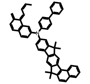 C=c1ccc2ccc(N(c3ccc(-c4ccccc4)cc3)c3ccc4c(c3)C(C)(C)c3cc5c(cc3-4)C(C)(C)c3ccc4ccccc4c3-5)cc2/c1=C/C=C\C